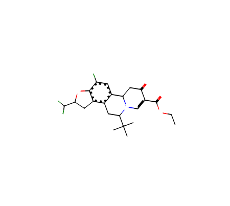 CCOC(=O)C1=CN2C(CC1=O)c1cc(Cl)c3c(c1CC2C(C)(C)C)CC(C(F)F)O3